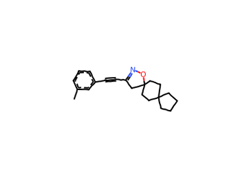 Cc1cccc(C#CC2=NOC3(CCC4(CCCC4)CC3)C2)c1